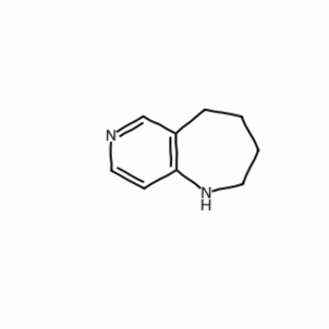 c1cc2c(cn1)CCCCN2